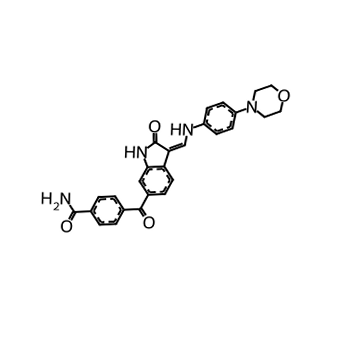 NC(=O)c1ccc(C(=O)c2ccc3c(c2)NC(=O)C3=CNc2ccc(N3CCOCC3)cc2)cc1